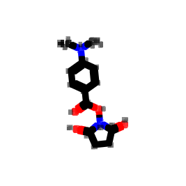 CN(C)c1ccc(C(=O)ON2C(=O)CCC2=O)cc1